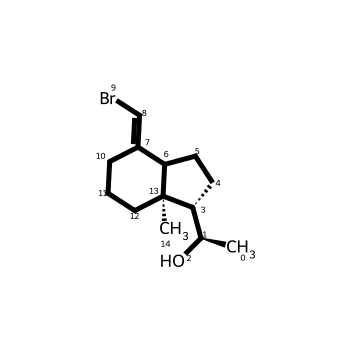 C[C@@H](O)[C@H]1CCC2/C(=C/Br)CCC[C@@]21C